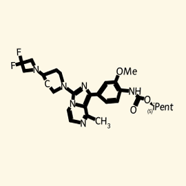 CCC[C@H](C)OC(=O)Nc1ccc(-c2nc(N3CCC(N4CC(F)(F)C4)CC3)n3ccnc(C)c23)cc1OC